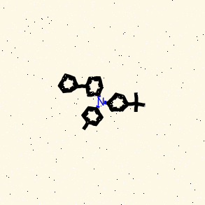 Cc1ccc(N(c2ccc(C(C)(C)C)cc2)c2cccc(-c3ccccc3)c2)cc1